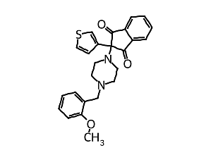 COc1ccccc1CN1CCN(C2(c3ccsc3)C(=O)c3ccccc3C2=O)CC1